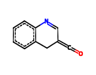 O=C=C1C=Nc2ccccc2C1